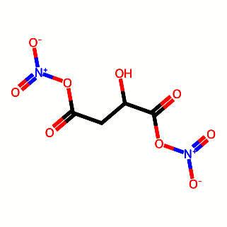 O=C(CC(O)C(=O)O[N+](=O)[O-])O[N+](=O)[O-]